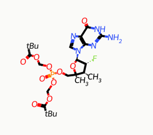 C[C@H]1[C@@H](F)[C@H](n2cnc3c(=O)[nH]c(N)nc32)O[C@]1(C)COP(=O)(OCOC(=O)C(C)(C)C)OCOC(=O)C(C)(C)C